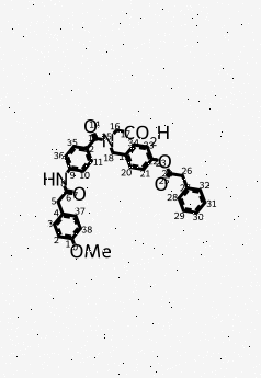 COc1ccc(CC(=O)Nc2ccc(C(=O)N(CC(=O)O)Cc3ccc(OC(=O)Cc4ccccc4)cc3)cc2)cc1